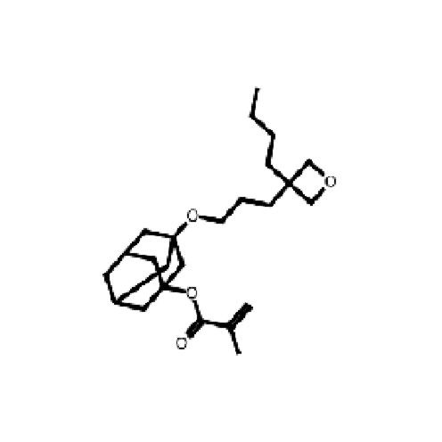 C=C(C)C(=O)OC12CC3CC(CC(OCCCC4(CCCC)COC4)(C3)C1)C2